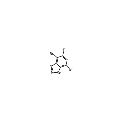 Fc1cc(Br)c2[se]nnc2c1Br